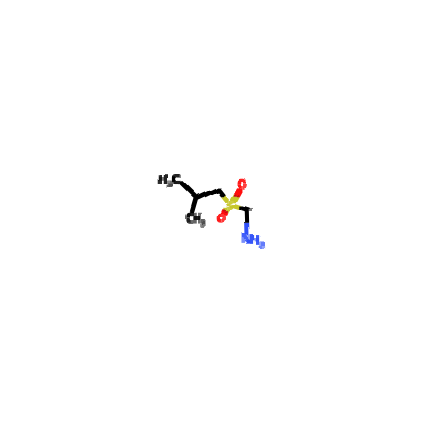 CC(C)CS(=O)(=O)[CH]N